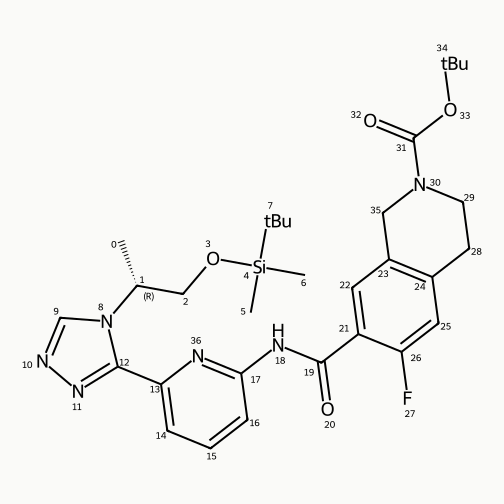 C[C@H](CO[Si](C)(C)C(C)(C)C)n1cnnc1-c1cccc(NC(=O)c2cc3c(cc2F)CCN(C(=O)OC(C)(C)C)C3)n1